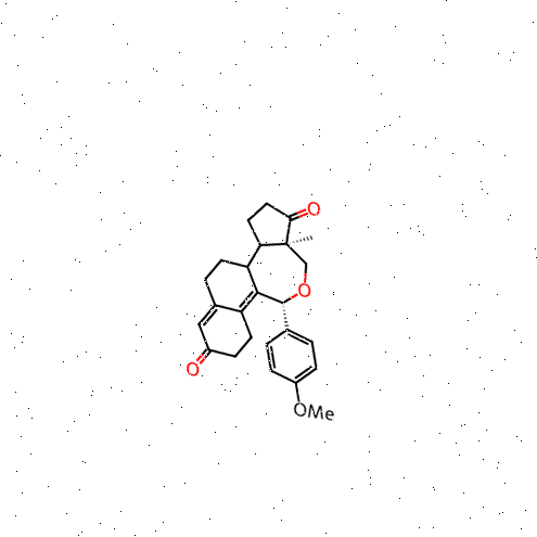 COc1ccc([C@H]2OC[C@]3(C)C(=O)CCC3C3CCC4=CC(=O)CCC4=C32)cc1